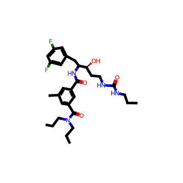 CCCNC(=O)NCC[C@H](O)C(Cc1cc(F)cc(F)c1)NC(=O)c1cc(C)cc(C(=O)N(CCC)CCC)c1